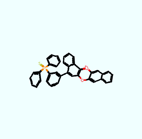 S=P(c1ccccc1)(c1ccccc1)c1cccc(-c2cc3c(c4ccccc24)Oc2cc4ccccc4cc2O3)c1